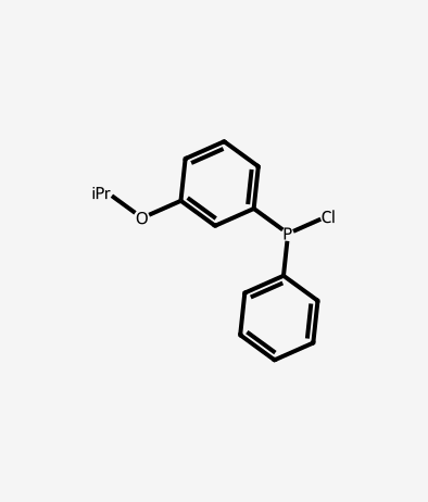 CC(C)Oc1cccc(P(Cl)c2ccccc2)c1